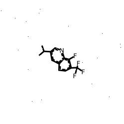 CC(C)c1cnc2c(F)c(C(F)(F)F)ccc2c1